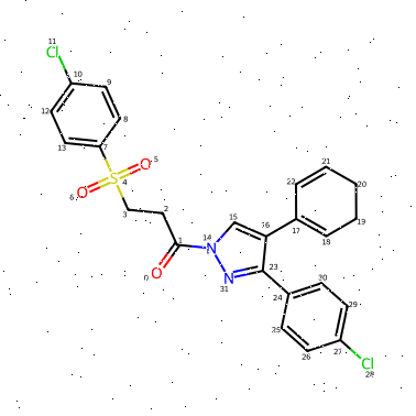 O=C(CCS(=O)(=O)c1ccc(Cl)cc1)n1cc(C2=CCCC=C2)c(-c2ccc(Cl)cc2)n1